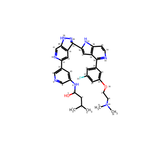 CC(C)CC(O)Nc1cncc(-c2cc3c(-c4cc5c(-c6cc(F)cc(OCCN(C)C)c6)nccc5[nH]4)n[nH]c3cn2)c1